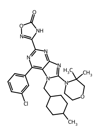 CC1CCC(Cn2c(N3CCOCC3(C)C)nc3nc(-c4noc(=O)[nH]4)nc(-c4cccc(Cl)c4)c32)CC1